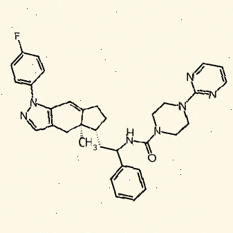 C[C@]12Cc3cnn(-c4ccc(F)cc4)c3C=C1CC[C@@H]2CC(NC(=O)N1CCN(c2ncccn2)CC1)c1ccccc1